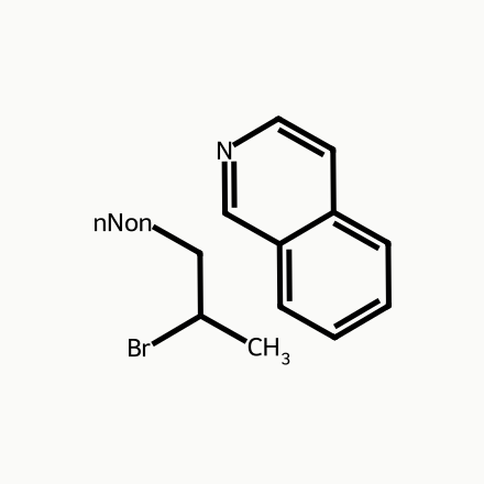 CCCCCCCCCCC(C)Br.c1ccc2cnccc2c1